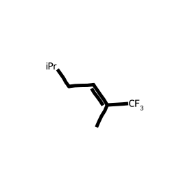 C/C(=C\CC(C)C)C(F)(F)F